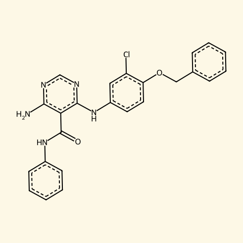 Nc1ncnc(Nc2ccc(OCc3ccccc3)c(Cl)c2)c1C(=O)Nc1ccccc1